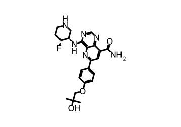 CC(C)(O)COc1ccc(-c2cc(C(N)=O)c3ncnc(N[C@@H]4CNCC[C@H]4F)c3n2)cc1